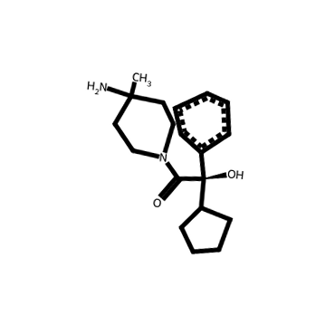 CC1(N)CCN(C(=O)[C@](O)(c2ccccc2)C2CCCC2)CC1